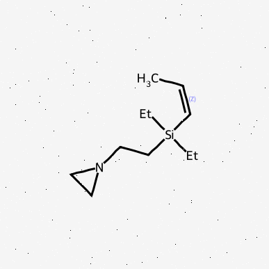 C/C=C\[Si](CC)(CC)CCN1CC1